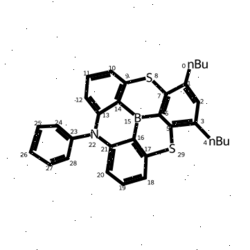 CCCCc1cc(CCCC)c2c3c1Sc1cccc4c1B3c1c(cccc1N4c1ccccc1)S2